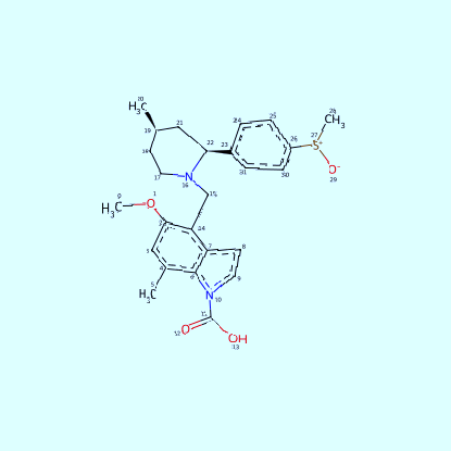 COc1cc(C)c2c(ccn2C(=O)O)c1CN1CC[C@@H](C)C[C@H]1c1ccc([S+](C)[O-])cc1